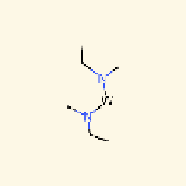 CC[N](C)[W][N](C)CC